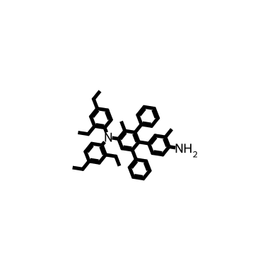 CCc1ccc(N(c2ccc(CC)cc2CC)c2cc(-c3ccccc3)c(-c3ccc(N)c(C)c3)c(-c3ccccc3)c2C)c(CC)c1